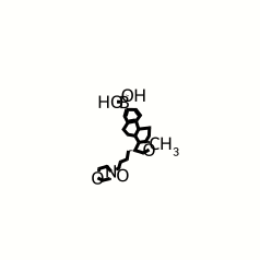 C[C@]12CCC3c4ccc(B(O)O)cc4CCC3C1[C@@H](CCCC(=O)N1CCOCC1)CO2